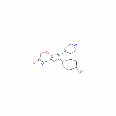 CN1C(=O)COc2cc(N3CCNCC3)c(C3CCC(C(C)(C)C)CC3)cc21